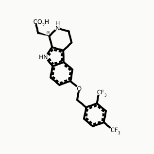 O=C(O)C[C@H]1NCCc2c1[nH]c1ccc(OCc3ccc(C(F)(F)F)cc3C(F)(F)F)cc21